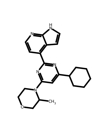 CC1COCCN1c1cc(C2CCCCC2)nc(-c2ccnc3[nH]ccc23)n1